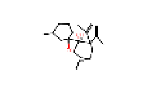 C=C(C)C1(C(=C)C)CC[C@@H](C)C[C@@]1(O)C1(O)CCCC(C)C1